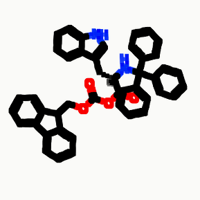 O=C(OCC1c2ccccc2-c2ccccc21)OC(=O)[C@H](Cc1c[nH]c2ccccc12)NC(c1ccccc1)(c1ccccc1)c1ccccc1